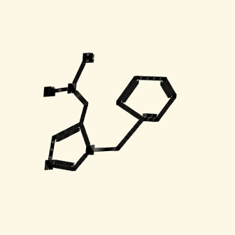 CCN(CC)Cc1cncn1Cc1ccccc1